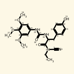 CCN(C#N)C(=O)C(Cc1ccc(O)cc1)NC(=O)Nc1cc(OC)c(OC)c(OC)c1